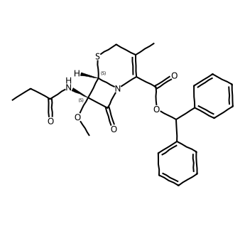 CCC(=O)N[C@]1(OC)C(=O)N2C(C(=O)OC(c3ccccc3)c3ccccc3)=C(C)CS[C@H]21